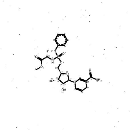 COC(=O)[C@H](C)NP(=O)(OC[C@H]1OC(N2C=CCC(C(N)=O)=C2)[C@H](O)[C@@H]1O)Oc1ccccc1